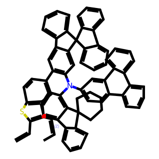 C=Cc1sc2ccc(-c3cc4c(cc3N(c3ccc5c6ccccc6c6ccccc6c5c3)c3cccc5c3C3(CCCCC3)c3ccccc3-5)C3(c5ccccc5-c5ccccc53)c3ccccc3-4)cc2c1/C=C\C